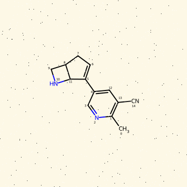 Cc1ncc(C2=CCC3CNC23)cc1C#N